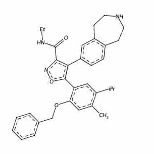 CCNC(=O)c1noc(-c2cc(C(C)C)c(C)cc2OCc2ccccc2)c1-c1ccc2c(c1)CCNCC2